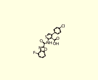 O=C(Nc1scc(-c2ccc(Cl)cc2)c1C(=O)O)c1nc2c(F)cccc2o1